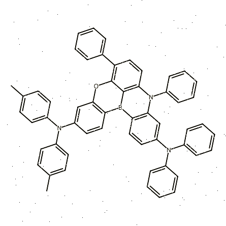 Cc1ccc(N(c2ccc(C)cc2)c2ccc3c(c2)Oc2c(-c4ccccc4)ccc4c2B3c2ccc(N(c3ccccc3)c3ccccc3)cc2N4c2ccccc2)cc1